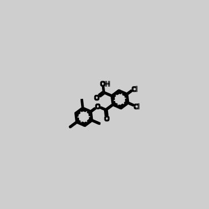 Cc1cc(C)c(OC(=O)c2cc(Cl)c(Cl)cc2C(=O)O)c(C)c1